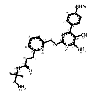 CC(=O)Nc1ccc(-c2nc(SCc3cccc(CCC(=O)NC(C)(C)CN)n3)nc(N)c2C#N)cc1